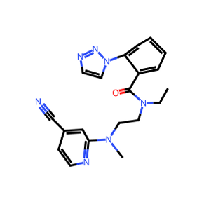 CCN(CCN(C)c1cc(C#N)ccn1)C(=O)c1ccccc1-n1ccnn1